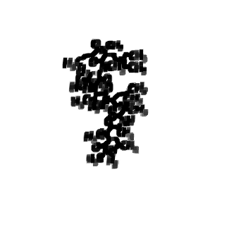 CCCC(=O)N(C)[C@@H](CCN(CC)CC)C(=O)N(C)[C@@H](CC(C)(C)O)C(=O)N[C@H](C(=O)N(C)[C@@H](CC(C)C)C(=O)N[C@@H](C)C(=O)N[C@H](C)C(=O)N(C)[C@@H](CC(C)C)C(=O)NC)C(C)C